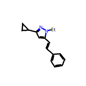 CCn1nc(C2CC2)cc1/C=C/c1ccccc1